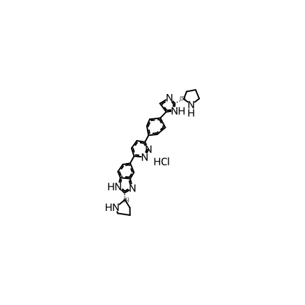 Cl.c1cc(-c2cnc([C@@H]3CCCN3)[nH]2)ccc1-c1ccc(-c2ccc3[nH]c([C@@H]4CCCN4)nc3c2)nn1